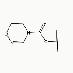 CC(C)(C)OC(=O)N1C=COCC1